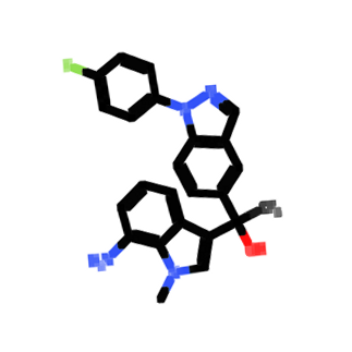 Cn1cc(C(O)(c2ccc3c(cnn3-c3ccc(F)cc3)c2)C(F)(F)F)c2cccc(N)c21